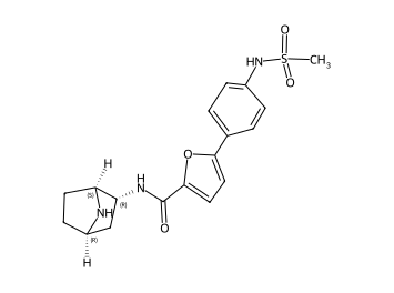 CS(=O)(=O)Nc1ccc(-c2ccc(C(=O)N[C@@H]3C[C@H]4CC[C@@H]3N4)o2)cc1